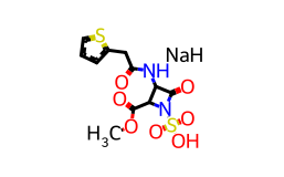 COC(=O)C1C(NC(=O)Cc2cccs2)C(=O)N1S(=O)(=O)O.[NaH]